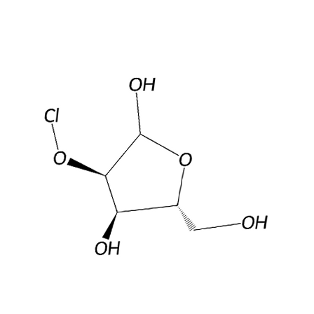 OC[C@H]1OC(O)[C@H](OCl)[C@@H]1O